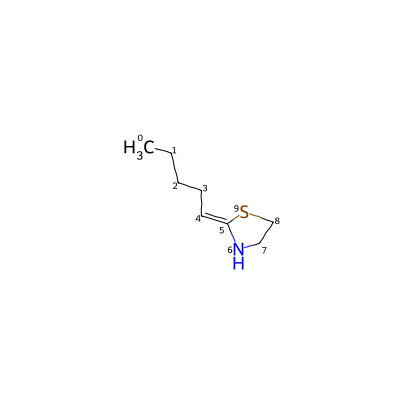 CCCCC=C1NCCS1